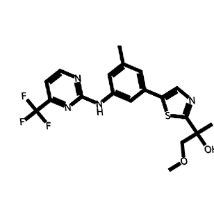 COCC(C)(O)c1ncc(-c2cc(C)cc(Nc3nccc(C(F)(F)F)n3)c2)s1